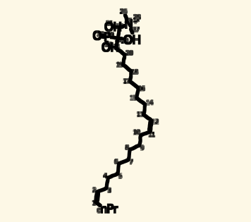 CCC/C=C\CCCCCCCC/C=C\CCCCCCCCCC(O)(C[N+](C)(C)C)P(=O)(O)O